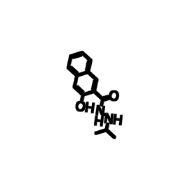 CC(C)NNC(=O)c1cc2ccccc2cc1O